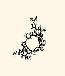 C=CC(=O)N1CC[C@H](C(=O)N(C)C(C(=O)N[C@H]2Cc3cccc(c3)-c3ccc4c(c3)c(c(-c3cccnc3[C@H](C)OC)n4CC)CC(C)(C)COC(=O)[C@@H]3CCCN(N3)C2=O)C(C)C)C1